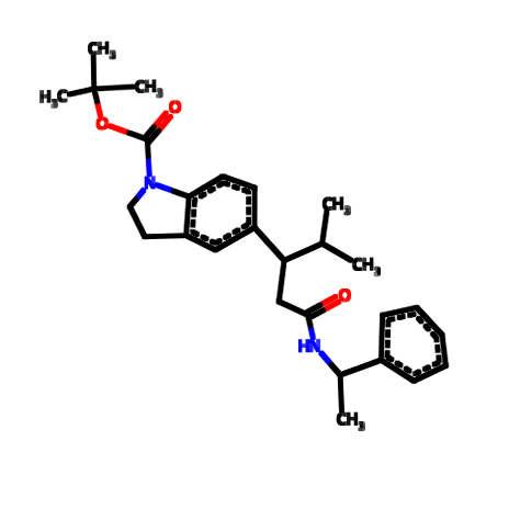 CC(NC(=O)CC(c1ccc2c(c1)CCN2C(=O)OC(C)(C)C)C(C)C)c1ccccc1